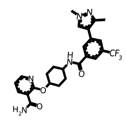 Cc1nn(C)cc1-c1cc(C(=O)NC2CCC(Oc3ncccc3C(N)=O)CC2)cc(C(F)(F)F)c1